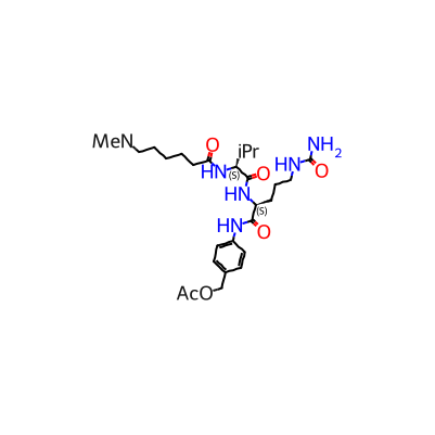 CNCCCCCC(=O)N[C@H](C(=O)N[C@@H](CCCNC(N)=O)C(=O)Nc1ccc(COC(C)=O)cc1)C(C)C